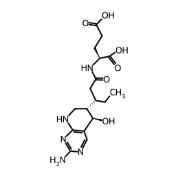 CCC(CC(=O)N[C@@H](CCC(=O)O)C(=O)O)[C@H]1CNc2nc(N)ncc2[C@@H]1O